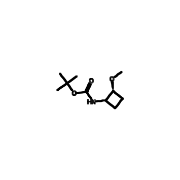 CO[C@H]1CCC1NC(=O)OC(C)(C)C